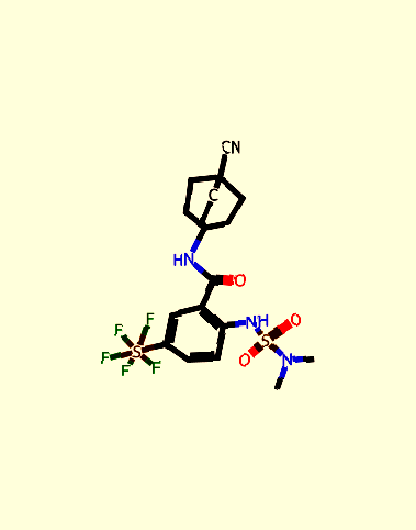 CN(C)S(=O)(=O)Nc1ccc(S(F)(F)(F)(F)F)cc1C(=O)NC12CCC(C#N)(CC1)CC2